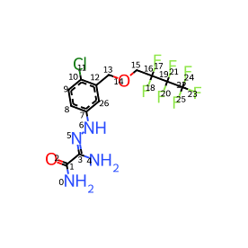 NC(=O)C(N)=NNc1ccc(Cl)c(COCC(F)(F)C(F)(F)C(F)(F)F)c1